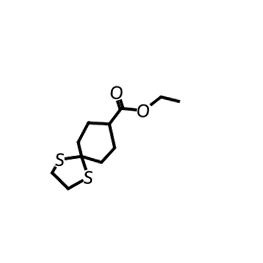 CCOC(=O)C1CCC2(CC1)SCCS2